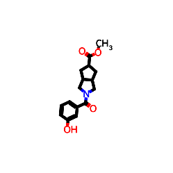 COC(=O)C1CC2CN(C(=O)c3cccc(O)c3)CC2C1